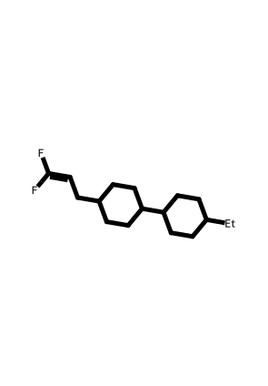 CCC1CCC(C2CCC(CC=C(F)F)CC2)CC1